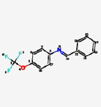 FC(F)(F)Oc1ccc(/N=C/c2ccccc2)cc1